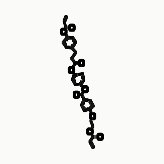 C=CC(=O)OCCOc1ccc(C(=O)Oc2ccc(OC(=O)CCc3ccc(OC(=O)C=C)cc3)cc2)cc1